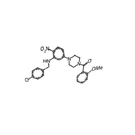 COc1ccccc1C(=O)N1CCN(c2ccc([N+](=O)[O-])c(NCc3ccc(Cl)cc3)c2)CC1